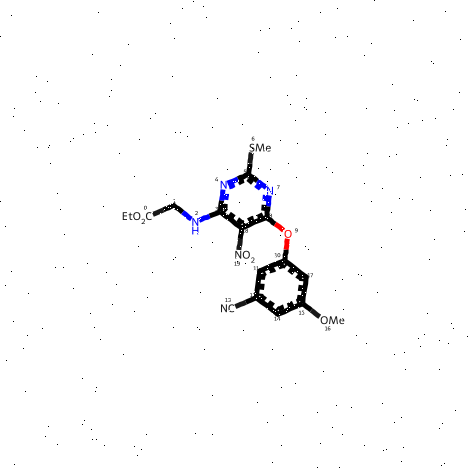 CCOC(=O)CNc1nc(SC)nc(Oc2cc(C#N)cc(OC)c2)c1[N+](=O)[O-]